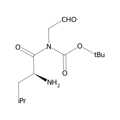 CC(C)C[C@H](N)C(=O)N(C[C]=O)C(=O)OC(C)(C)C